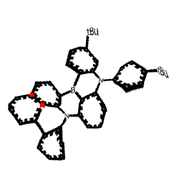 CC(C)(C)c1ccc(N2c3cc(C(C)(C)C)ccc3B3c4ccccc4N(c4ccccc4-c4ccccn4)c4cccc2c43)cc1